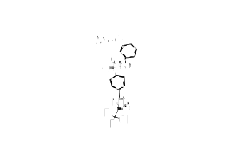 COc1cccc(NP(C)(=O)c2ccc(-c3noc(C(F)(F)Cl)n3)cc2)c1